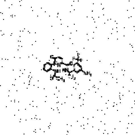 CC(=O)Nc1ccccc1-n1nc(C(=O)NC(C)c2cc(N)cc(C(F)(F)F)c2)ccc1=O